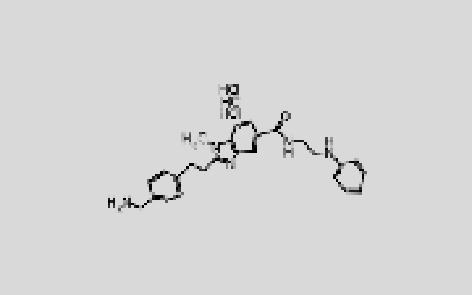 Cl.Cl.Cl.Cn1c(CCc2ccc(CN)cc2)nc2cc(C(=O)NCCNc3ccccc3)ccc21